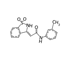 Cc1cccc(NC(=O)C=C2NS(=O)(=O)c3ccccc32)c1